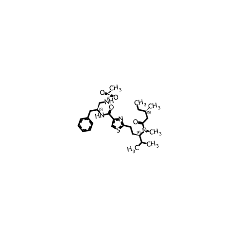 CC[C@H](C)CC(=O)N(C)[C@H](CCc1nc(C(=O)N[C@H](CNS(C)(=O)=O)Cc2ccccc2)cs1)C(C)C